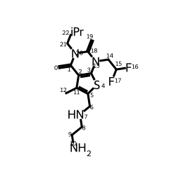 C=C1c2c(sc(CNCCN)c2C)N(CC(F)F)C(=C)N1CC(C)C